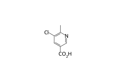 Cc1ncc(C(=O)O)cc1Cl